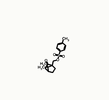 Cc1ccc(S(=O)(=O)OCC23CCC(CC2=O)C3(C)C)cc1